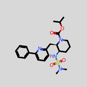 CC(C)OC(=O)N1CCC[C@@H](NS(=O)(=O)N(C)C)[C@H]1Cc1cccc(-c2ccccc2)n1